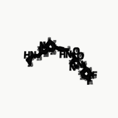 O=C(NCC#Cc1ccc2ncc(CNC3CC3)cc2c1)c1cncn(Cc2ccc(F)c(F)c2)c1=O